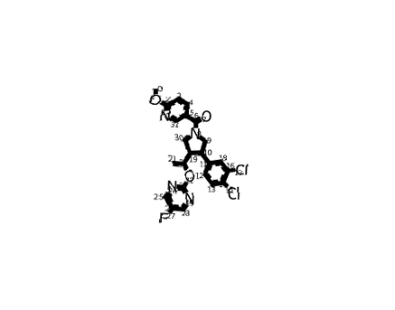 COc1ccc(C(=O)N2CC(c3ccc(Cl)c(Cl)c3)C(C(C)Oc3ncc(F)cn3)C2)cn1